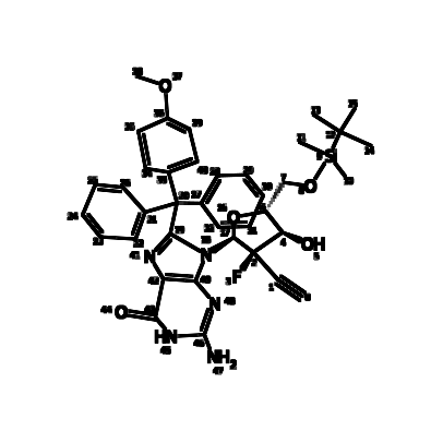 C#C[C@@]1(F)[C@H](O)[C@@H](CO[Si](C)(C)C(C)(C)C)O[C@@H]1n1c(C(c2ccccc2)(c2ccccc2)c2ccc(OC)cc2)nc2c(=O)[nH]c(N)nc21